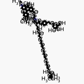 CC/N=c1/cc2oc3cc(NCC)c(C)cc3c(-c3cc(C(=O)NC/C(N)=C/N(N)[C@H](CCCCNC(=O)CCOCCOCCOCCOCCOCCOCCNC(=O)OC(C)(C)C)C(=O)Nc4ccc(CCOC5CC(O)[C@@H](O)C(CO)O5)cc4)ccc3C(=O)O)c-2cc1C